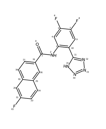 O=C(Nc1cc(F)c(F)cc1-c1nnn[nH]1)c1ccc2cc(F)ccc2c1